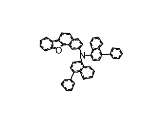 c1ccc(-c2ccc(N(c3ccc4ccc5c6ccccc6oc5c4c3)c3ccc(-c4ccccc4)c4ccccc34)c3ccccc23)cc1